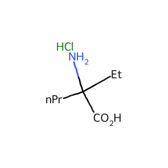 CCCC(N)(CC)C(=O)O.Cl